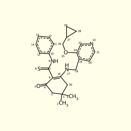 CC1(C)CC(=O)C(C(=S)Nc2ccccc2)=C(NCc2ccncc2OCC2CC2)C1